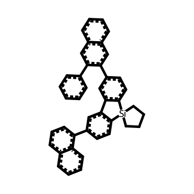 c1ccc(-c2cc3ccccc3cc2-c2ccc3c(c2)-c2cc(-c4cccc5ccccc45)ccc2[Si]32CCCC2)cc1